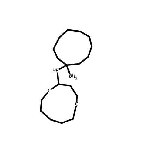 BC1(BC2CCCCCCCCC2)CCCCCCCCC1